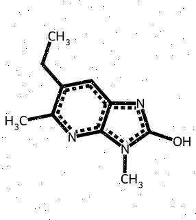 CCc1cc2nc(O)n(C)c2nc1C